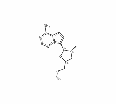 CCCCOC[C@@H]1C[C@H](C)[C@H](c2ccc3c(N)ncnn23)O1